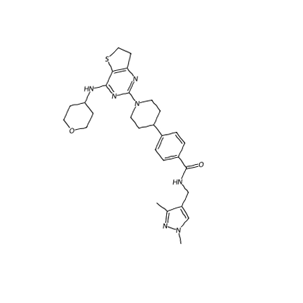 Cc1nn(C)cc1CNC(=O)c1ccc(C2CCN(c3nc4c(c(NC5CCOCC5)n3)SCC4)CC2)cc1